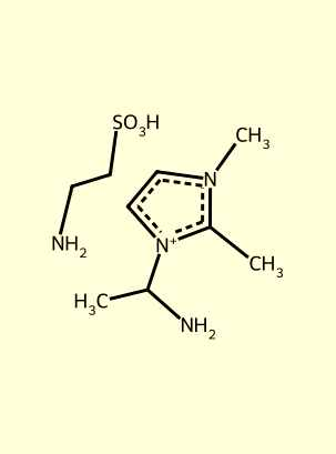 Cc1n(C)cc[n+]1C(C)N.NCCS(=O)(=O)O